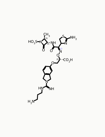 C[C@H]1[C@H](NC(=O)/C(=N\O[C@@H](COc2ccc3c(c2)CN(C(=N)NCCCN)C3)C(=O)O)C2CSC(N)=N2)C(=O)N1S(=O)(=O)O